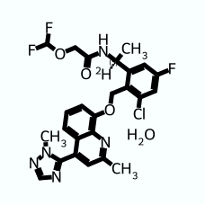 O.[2H][C@@](C)(NC(=O)COC(F)F)c1cc(F)cc(Cl)c1COc1cccc2c(-c3ncnn3C)cc(C)nc12